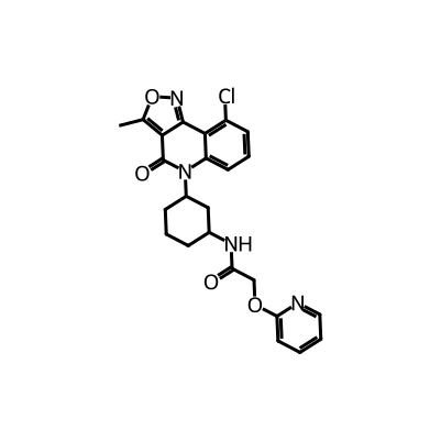 Cc1onc2c1c(=O)n(C1CCCC(NC(=O)COc3ccccn3)C1)c1cccc(Cl)c21